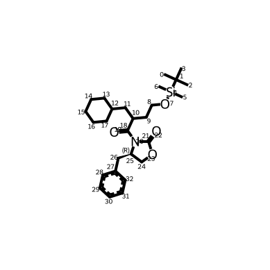 CC(C)(C)[Si](C)(C)OCCC(CC1CCCCC1)C(=O)N1C(=O)OC[C@H]1Cc1ccccc1